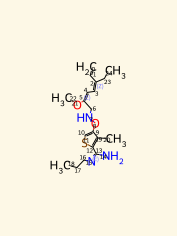 C=C/C(=C\C=C(/CNOc1csc(/C(N)=N\CCC)c1C)OC)CC